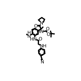 CNc1ccc(C(C)(NC(=O)OC(C)(C)C)C(=O)N2CCCC2)cc1NC(=O)CNc1ccc(C#N)cc1